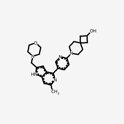 Cc1cc2[nH]c(CN3CCOCC3)cc2c(-c2ccc(N3CCC4(CC3)CC(O)C4)nc2)n1